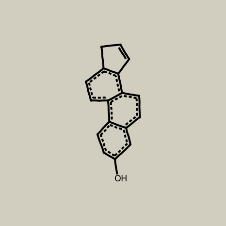 Oc1ccc2c(ccc3c4c(ccc32)CC=C4)c1